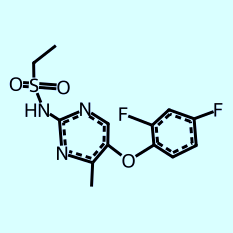 CCS(=O)(=O)Nc1ncc(Oc2ccc(F)cc2F)c(C)n1